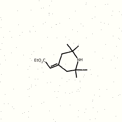 CCOC(=O)C=C1CC(C)(C)NC(C)(C)C1